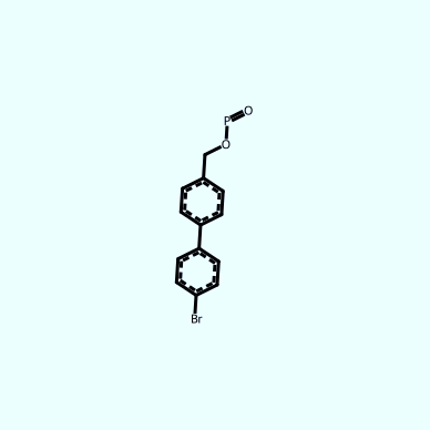 O=POCc1ccc(-c2ccc(Br)cc2)cc1